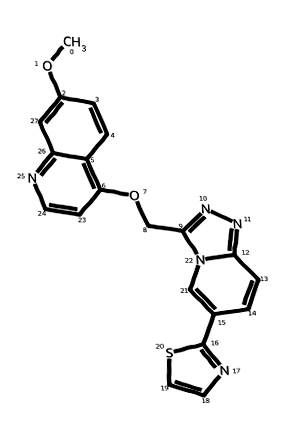 COc1ccc2c(OCc3nnc4ccc(-c5nccs5)cn34)ccnc2c1